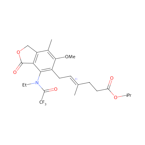 CCN(C(=O)C(F)(F)F)c1c(C/C=C(\C)CCC(=O)OC(C)C)c(OC)c(C)c2c1C(=O)OC2